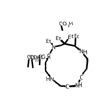 CC(=O)O.CC(=O)O.CC(=O)O.CC(=O)O.CCC1NCCCNCCNCCCN(CC)C1(CC)CC